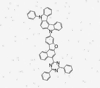 c1ccc(-c2nc(-c3ccccc3)nc(-c3cc4oc5cc(-n6c7ccccc7c7c8c9ccccc9n(-c9ccccc9)c8ccc76)ccc5c4c4ccccc34)n2)cc1